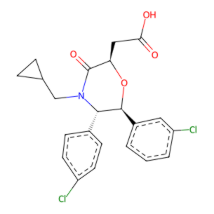 O=C(O)C[C@H]1O[C@@H](c2cccc(Cl)c2)[C@H](c2ccc(Cl)cc2)N(CC2CC2)C1=O